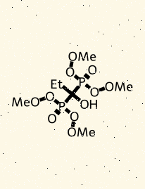 [CH2]CC(O)(P(=O)(OOC)OOC)P(=O)(OOC)OOC